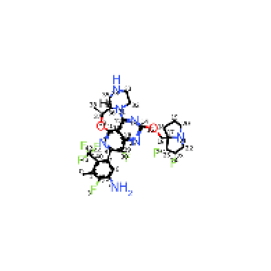 Cc1c(F)c(N)cc(-c2nc3c4c(nc(OC[C@@]56CCCN5C[C@H](F)[C@@H]6F)nc4c2F)N2CCNC[C@H]2[C@H](C)O3)c1C(F)(F)F